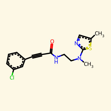 Cc1cnc(N(C)CCNC(=O)C#Cc2cccc(Cl)c2)s1